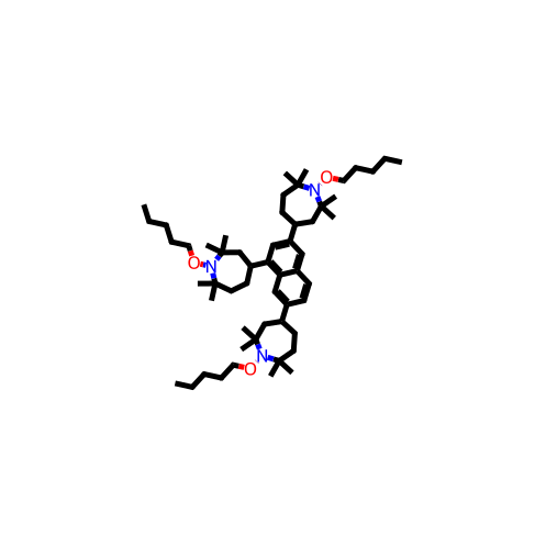 CCCCCON1C(C)(C)CCC(c2cc(C3CCC(C)(C)N(OCCCCC)C(C)(C)C3)c3cc(C4CCC(C)(C)N(OCCCCC)C(C)(C)C4)ccc3c2)CC1(C)C